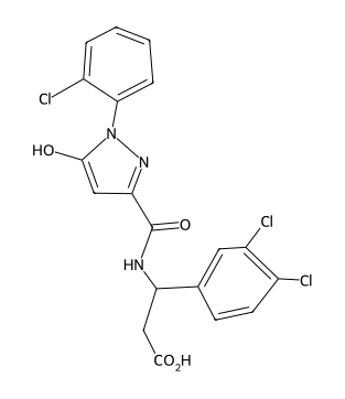 O=C(O)CC(NC(=O)c1cc(O)n(-c2ccccc2Cl)n1)c1ccc(Cl)c(Cl)c1